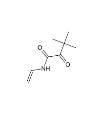 C=CNC(=O)C(=O)C(C)(C)C